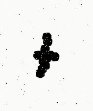 c1ccc(N(c2ccc(-c3ccc4ccccc4c3)cc2)c2cccc3c2ccc2ccccc23)c(-c2ccc3oc4cc5ccccc5cc4c3c2)c1